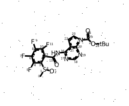 C[S+]([O-])c1c(F)c(F)c(F)c(F)c1C(=O)Nc1ncnc2c1ccn2C(=O)OC(C)(C)C